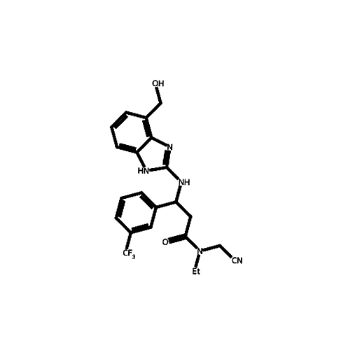 CCN(CC#N)C(=O)CC(Nc1nc2c(CO)cccc2[nH]1)c1cccc(C(F)(F)F)c1